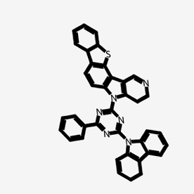 C1=CC2Sc3c(ccc4c3c3c(n4-c4nc(-c5ccccc5)nc(-n5c6c(c7ccccc75)CCC=C6)n4)CCN=C3)C2C=C1